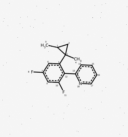 CC1CC1(C)c1cc(F)cc(F)c1-c1ccccn1